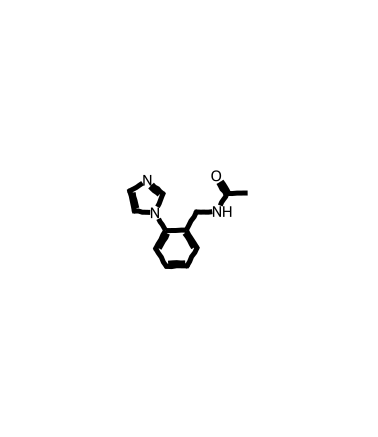 CC(=O)NCc1ccccc1-n1ccnc1